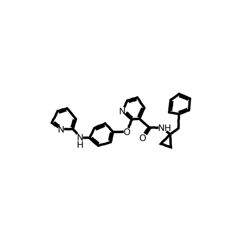 O=C(NC1(Cc2ccccc2)CC1)c1cccnc1Oc1ccc(Nc2ccccn2)cc1